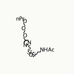 CCCOCCOCCOCc1cnc(SC[Si](C)(C)O[Si](C)(C)CCCNC(C)=O)nc1